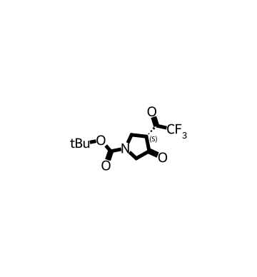 CC(C)(C)OC(=O)N1CC(=O)[C@@H](C(=O)C(F)(F)F)C1